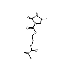 C=C(C)C(=O)OCCOC(=O)N1CC(C)NC1=O